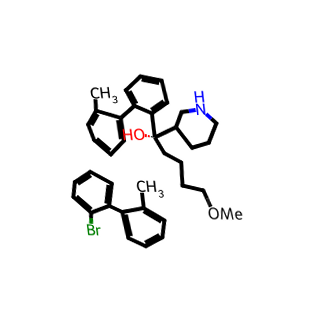 COCCCC[C@@](O)(c1ccccc1-c1ccccc1C)C1CCCNC1.Cc1ccccc1-c1ccccc1Br